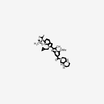 COc1cc(C(=O)N2CC[C@H]3OCCCN[C@H]3C2)cc2nc(-c3cc4ccc(N(C(F)F)S(C)(=O)=O)nc4n3CC3CC3)c(C)n12